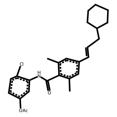 CC(=O)Oc1ccc(Cl)c(NC(=O)c2c(C)cc(/C=C/CC3CCCCC3)cc2C)c1